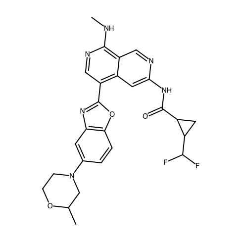 CNc1ncc(-c2nc3cc(N4CCOC(C)C4)ccc3o2)c2cc(NC(=O)C3CC3C(F)F)ncc12